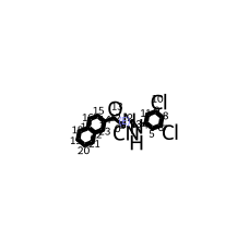 N#C/C(=N\Nc1cc(Cl)cc(Cl)c1)C(=O)c1ccc2ccccc2c1